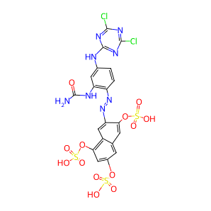 NC(=O)Nc1cc(Nc2nc(Cl)nc(Cl)n2)ccc1N=Nc1cc2c(OS(=O)(=O)O)cc(OS(=O)(=O)O)cc2cc1OS(=O)(=O)O